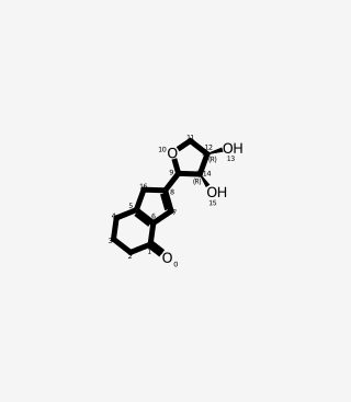 O=C1CCCC2=C1C=C(C1OC[C@@H](O)[C@H]1O)C2